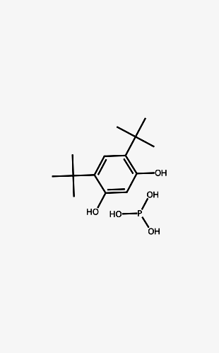 CC(C)(C)c1cc(C(C)(C)C)c(O)cc1O.OP(O)O